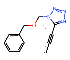 CC#Cc1nnnn1COCc1ccccc1